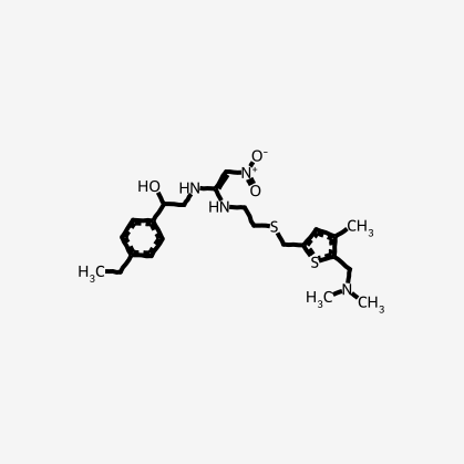 CCc1ccc(C(O)CNC(=C[N+](=O)[O-])NCCSCc2cc(C)c(CN(C)C)s2)cc1